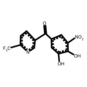 O=C(c1ccc(C(F)(F)F)nc1)c1cc(O)c(O)c([N+](=O)[O-])c1